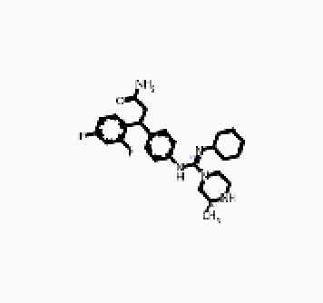 C[C@H]1CN(/C(=N\C2CCCCC2)Nc2ccc(C(CC(N)=O)c3ccc(F)cc3F)cc2)CCN1